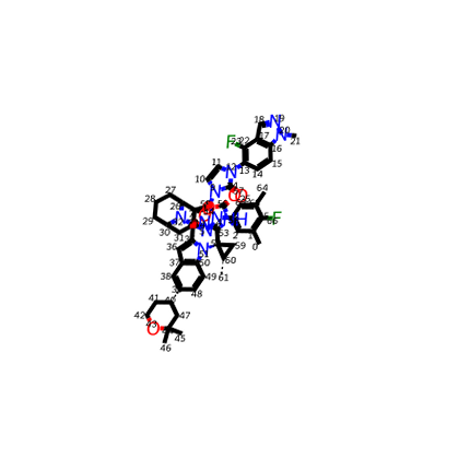 Cc1cc(-n2nc3c(c2-n2ccn(-c4ccc5c(cnn5C)c4F)c2=O)C2CCCC(C3)N2C(=O)c2cc3cc([C@H]4CCOC(C)(C)C4)ccc3n2[C@@]2(c3noc(=O)[nH]3)C[C@@H]2C)cc(C)c1F